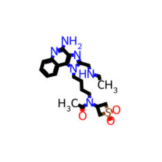 CCNCc1nc2c(N)nc3ccccc3c2n1CCCCN(C(C)=O)C1CS(=O)(=O)C1